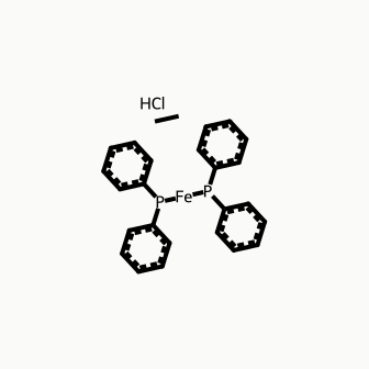 CC.Cl.c1ccc([P]([Fe][P](c2ccccc2)c2ccccc2)c2ccccc2)cc1